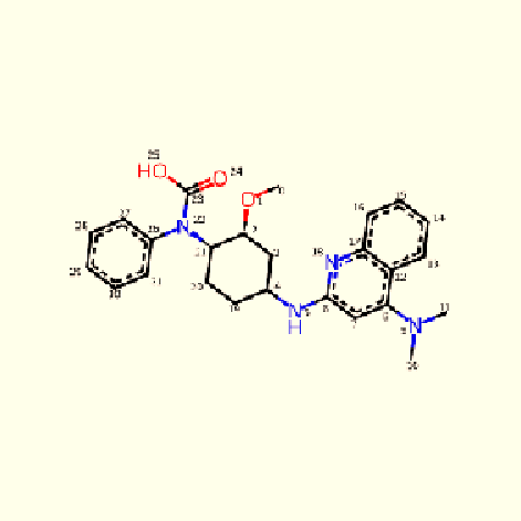 CO[C@H]1CC(Nc2cc(N(C)C)c3ccccc3n2)CC[C@H]1N(C(=O)O)c1ccccc1